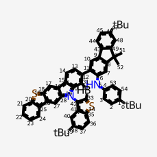 CC(C)(C)c1ccc(Nc2cc3c(cc2-c2ccc4c5cc6sc7ccccc7c6cc5n5c4c2Bc2sc4ccc(C(C)(C)C)cc4c2-5)-c2ccc(C(C)(C)C)cc2C3(C)C)cc1